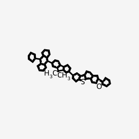 CC1(C)c2cc(-c3ccc4sc5c6cc7oc8ccccc8c7cc6ccc5c4c3)ccc2-c2ccc(-c3c4ccccc4c(-c4ccccc4)c4ccccc34)cc21